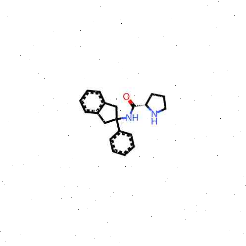 O=C(NC1(c2ccccc2)Cc2ccccc2C1)[C@@H]1CCCN1